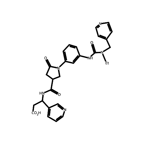 CCN(Cc1ccncc1)C(=O)Nc1cccc(N2CC(C(=O)NC(CC(=O)O)c3cccnc3)CC2=O)c1